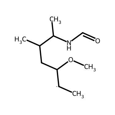 C[CH]C(CC(C)C(C)NC=O)OC